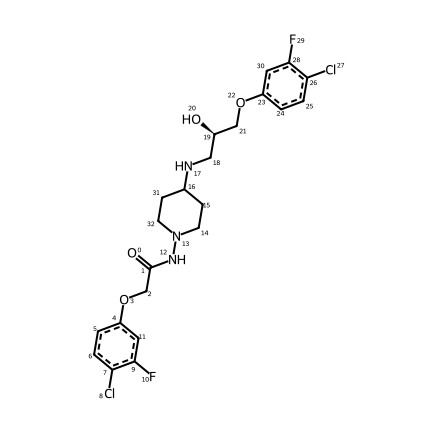 O=C(COc1ccc(Cl)c(F)c1)NN1CCC(NC[C@@H](O)COc2ccc(Cl)c(F)c2)CC1